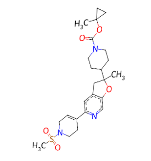 CC1(OC(=O)N2CCC(C3(C)Cc4cc(C5=CCN(S(C)(=O)=O)CC5)ncc4O3)CC2)CC1